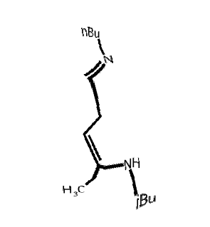 CCCCN=CCC=C(C)NC(C)CC